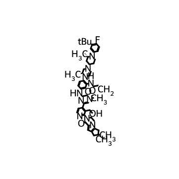 C=CC(=O)Nc1cc(Nc2nc(-c3ccnc(N4CCn5c(cc6c5CC(C)(C)C6)C4=O)c3CO)cn(C)c2=O)ccc1N1CCN(C2CCN(c3ccc(F)c(C(C)(C)C)c3)[C@@H](C)C2)C[C@@H]1C